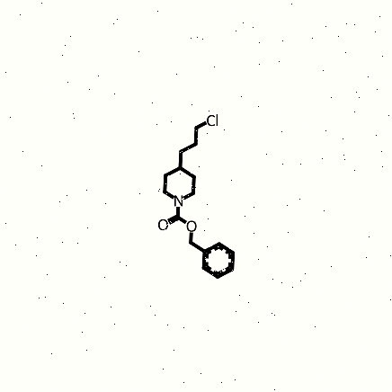 O=C(OCc1ccccc1)N1CCC(CCCCl)CC1